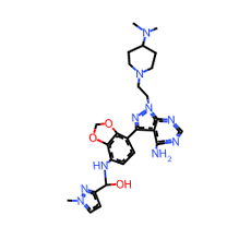 CN(C)C1CCN(CCn2nc(-c3ccc(NC(O)c4ccn(C)n4)c4c3OCO4)c3c(N)ncnc32)CC1